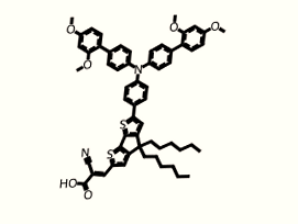 CCCCCCC1(CCCCCC)c2cc(/C=C(\C#N)C(=O)O)sc2-c2sc(-c3ccc(N(c4ccc(-c5ccc(OC)cc5OC)cc4)c4ccc(-c5ccc(OC)cc5OC)cc4)cc3)cc21